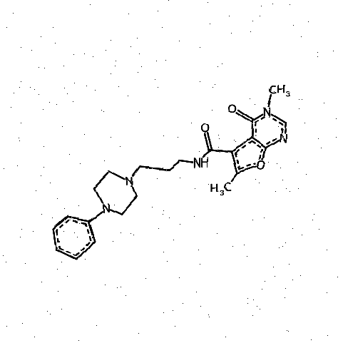 Cc1oc2ncn(C)c(=O)c2c1C(=O)NCCCN1CCN(c2ccccc2)CC1